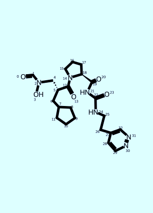 O=CN(O)C[C@@H](CC1CCCC1)C(=O)N1CCC[C@H]1C(=O)NC(=O)NCCc1ccnnc1